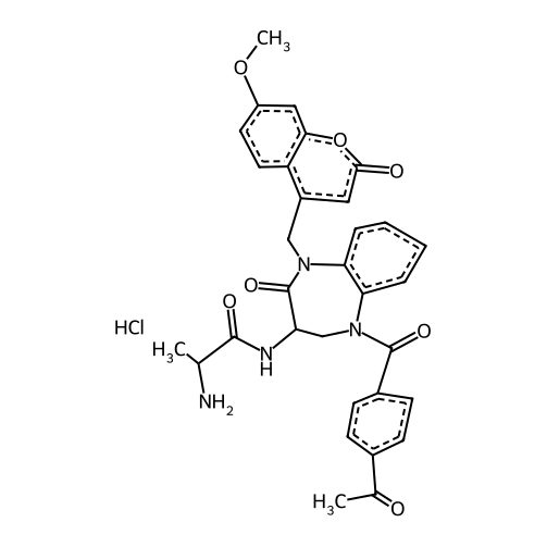 COc1ccc2c(CN3C(=O)C(NC(=O)C(C)N)CN(C(=O)c4ccc(C(C)=O)cc4)c4ccccc43)cc(=O)oc2c1.Cl